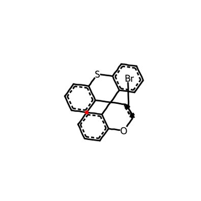 Brc1cccc2c1C1(c3ccccc3O2)c2ccccc2Sc2ccccc21